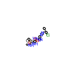 O=C(C[C@H](CSc1ccccc1)Nc1ccc(S(=O)(=O)Nc2ncnc3cc(N4CCN(Cc5cc(Cl)ccc5-c5ccccc5)CC4)ccc23)cc1[N+](=O)[O-])NC1CCC1